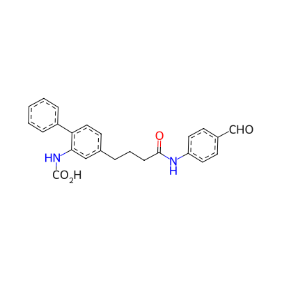 O=Cc1ccc(NC(=O)CCCc2ccc(-c3ccccc3)c(NC(=O)O)c2)cc1